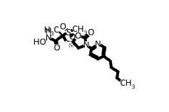 CCCCCc1ccc(N2C[C@H](C[C@](C)(C(=O)NO)S(C)(=O)=O)OC2=O)nc1